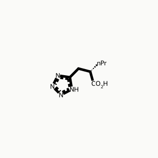 CCC[C@@H](Cc1nnn[nH]1)C(=O)O